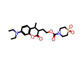 CCN(CC)c1ccc2c(c1)OC(=O)C(CCOC(=O)N1CCS(=O)(=O)CC1)C2C